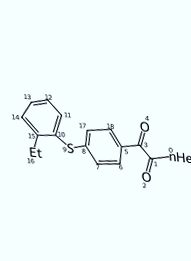 CCCCCCC(=O)C(=O)c1ccc(Sc2ccccc2CC)cc1